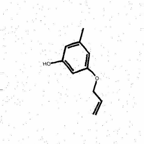 C=CCOc1[c]c(O)cc(C)c1